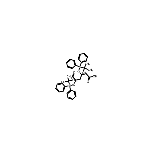 CC(C)(C)[Si](OC(C=O)CC(CC(=O)O)O[Si](c1ccccc1)(c1ccccc1)C(C)(C)C)(c1ccccc1)c1ccccc1